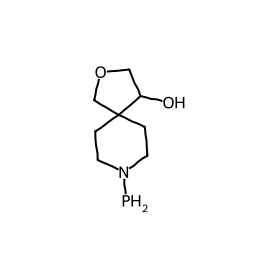 OC1COCC12CCN(P)CC2